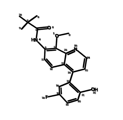 COc1c(NC(=O)C(C)(C)C)ccc2c(-c3cc(F)ccc3O)ccnc12